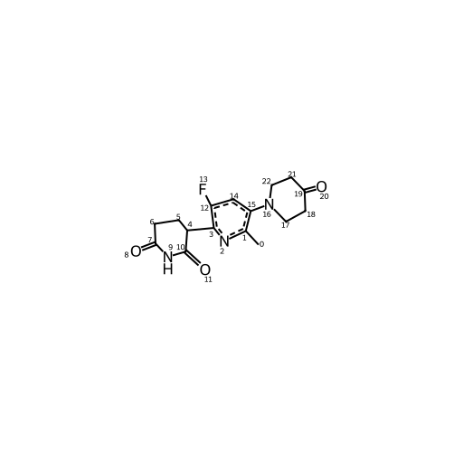 Cc1nc(C2CCC(=O)NC2=O)c(F)cc1N1CCC(=O)CC1